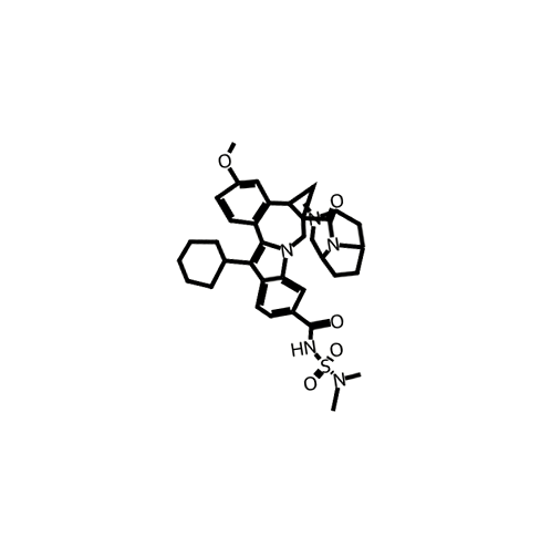 COc1ccc2c(c1)C1CC1(C(=O)N1C3CCC1CN(C)CC3)Cn1c-2c(C2CCCCC2)c2ccc(C(=O)NS(=O)(=O)N(C)C)cc21